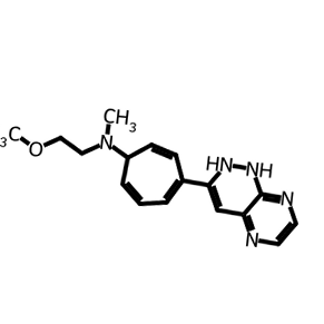 COCCN(C)C1C=CC=C(C2=Cc3nccnc3NN2)C=C1